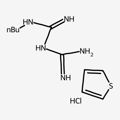 CCCCNC(=N)NC(=N)N.Cl.c1ccsc1